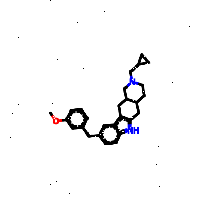 COc1cccc(Cc2ccc3[nH]c4c(c3c2)CC2CN(CC3CC3)CCC2C4)c1